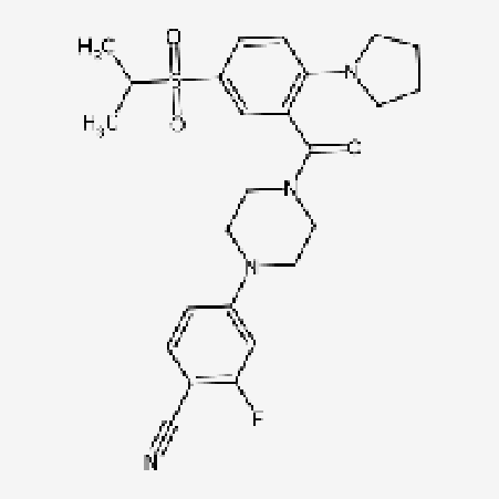 CC(C)S(=O)(=O)c1ccc(N2CCCC2)c(C(=O)N2CCN(c3ccc(C#N)c(F)c3)CC2)c1